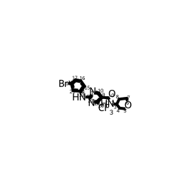 O=C(NC1CCOCC1)c1cnc(Nc2cccc(Br)c2)nc1C(F)(F)F